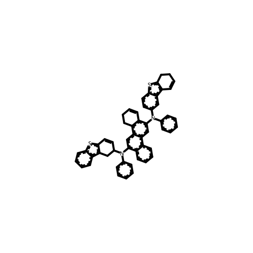 C1=Cc2c(sc3ccc(N(c4ccccc4)c4cc5c(cc(N(c6ccccc6)C6C=Cc7sc8ccccc8c7C6)c6ccccc65)c5c4C=CCC5)cc23)CC1